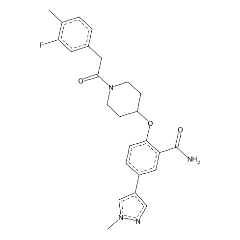 Cc1ccc(CC(=O)N2CCC(Oc3ccc(-c4cnn(C)c4)cc3C(N)=O)CC2)cc1F